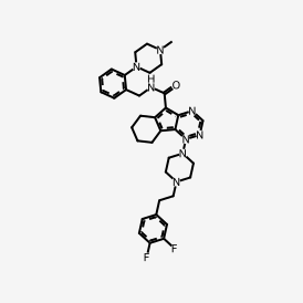 CN1CCN(c2ccccc2CNC(=O)c2c3ncnn(N4CCN(CCc5ccc(F)c(F)c5)CC4)c-3c3c2CCCC3)CC1